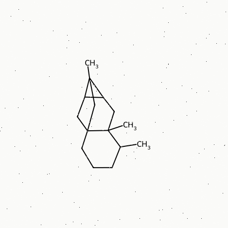 CC1CCCC23CC4C(CC12C)C4(C)C3